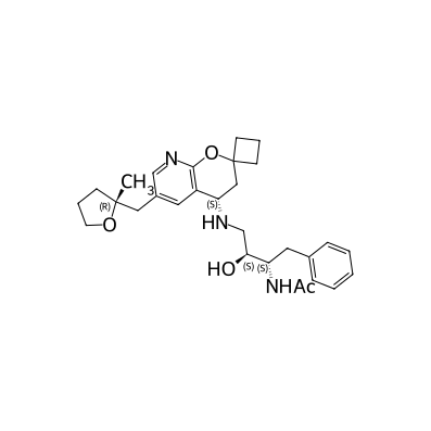 CC(=O)N[C@@H](Cc1ccccc1)[C@@H](O)CN[C@H]1CC2(CCC2)Oc2ncc(C[C@@]3(C)CCCO3)cc21